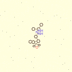 N=C(/N=c1\[nH]cc(-c2ccccc2)cc1-c1ccccc1)c1cccc(-c2cccc3c2-c2cc4ccccc4cc2C32c3ccccc3Oc3ccccc32)c1